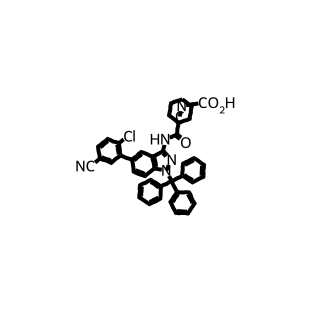 N#Cc1ccc(Cl)c(-c2ccc3c(c2)c(NC(=O)C24CCC(CC2)N(C(=O)O)C4)nn3C(c2ccccc2)(c2ccccc2)c2ccccc2)c1